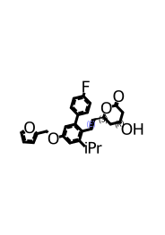 CC(C)c1cc(OCc2ccco2)cc(-c2ccc(F)cc2)c1/C=C/[C@@H]1C[C@@H](O)CC(=O)O1